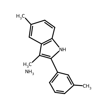 Cc1cccc(-c2[nH]c3ccc(C)cc3c2C)c1.N